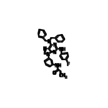 C=CC(=O)Nc1cccc(-n2cnc3c(N(Cc4ccccc4)Cc4ccccc4)nc(Nc4ccc(F)cc4)nc32)c1